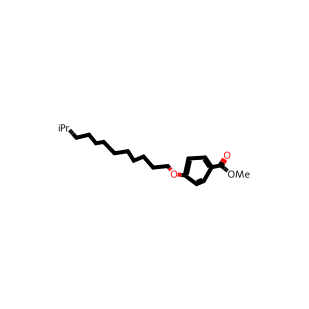 COC(=O)c1ccc(OCCCCCCCCCCC(C)C)cc1